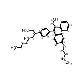 CCCCNCC(CC)c1ccc(/C(=C(\CC)c2ccccc2)c2ccc(OCCNC)cc2)cc1